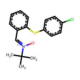 CC(C)(C)/[N+]([O-])=C/c1ccccc1Sc1ccc(Cl)cc1